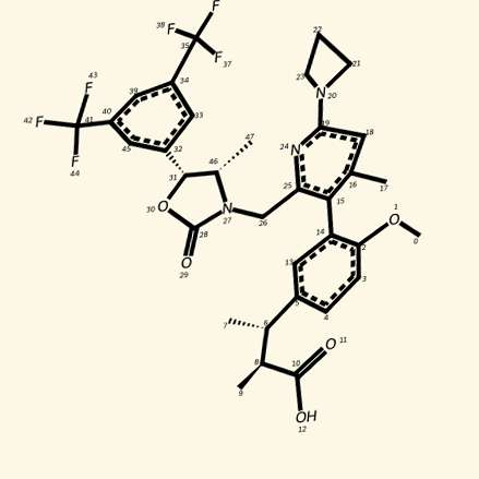 COc1ccc([C@@H](C)[C@H](C)C(=O)O)cc1-c1c(C)cc(N2CCC2)nc1CN1C(=O)O[C@H](c2cc(C(F)(F)F)cc(C(F)(F)F)c2)[C@@H]1C